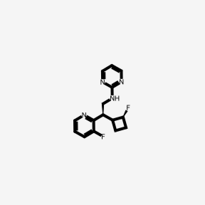 Fc1cccnc1[C@@H](CNc1ncccn1)C1CC[C@@H]1F